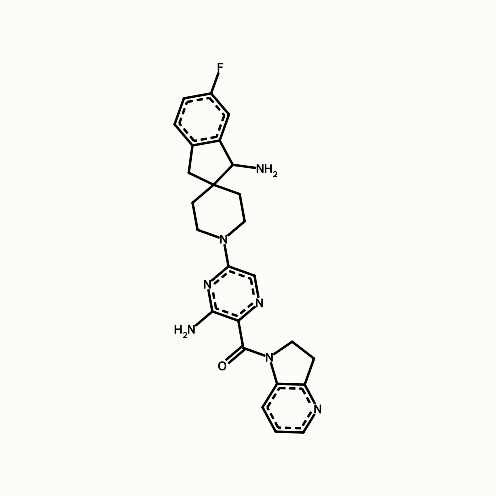 Nc1nc(N2CCC3(CC2)Cc2ccc(F)cc2C3N)cnc1C(=O)N1CCc2ncccc21